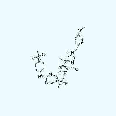 CCC12CC(NCc3ccc(OC)cc3)CN1C(=O)c1cc(-c3nc(NC4CCN(S(C)(=O)=O)CC4)ncc3C(F)(F)F)sc12